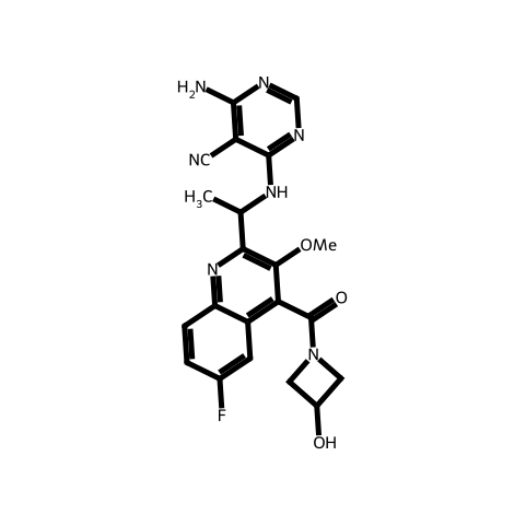 COc1c(C(C)Nc2ncnc(N)c2C#N)nc2ccc(F)cc2c1C(=O)N1CC(O)C1